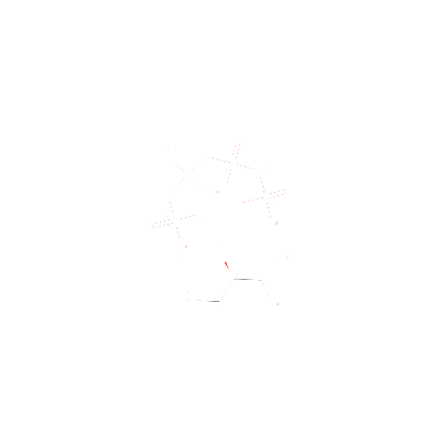 O=C[C@H](O)[C@H](O)CO.O=P(O)(O)OP(=O)(O)OP(=O)(O)OP(=O)(O)O